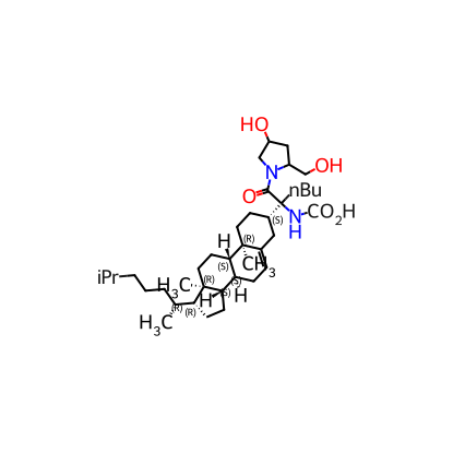 CCCCC(NC(=O)O)(C(=O)N1CC(O)CC1CO)[C@H]1CC[C@@]2(C)C(=CC[C@H]3[C@@H]4CC[C@H]([C@H](C)CCCC(C)C)[C@@]4(C)CC[C@@H]32)C1